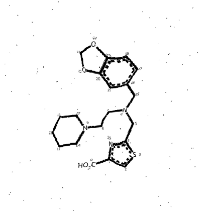 O=C(O)c1csc(CN(CCN2CCCCC2)Cc2ccc3c(c2)OCO3)n1